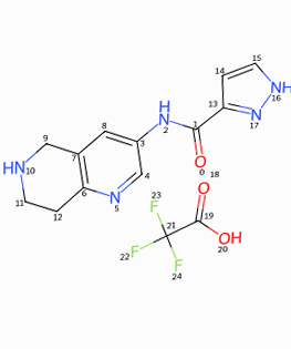 O=C(Nc1cnc2c(c1)CNCC2)c1cc[nH]n1.O=C(O)C(F)(F)F